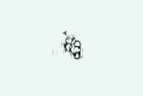 CN1C(=N)N[C@@]2(c3cc(Oc4cnccn4)ccc3F)CO[C@@H](C3CC3)C[C@H]2C1=O